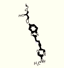 CNc1cnc(C#C/C=C/c2nc3ccc(OCC(O)COSI)cc3s2)cn1